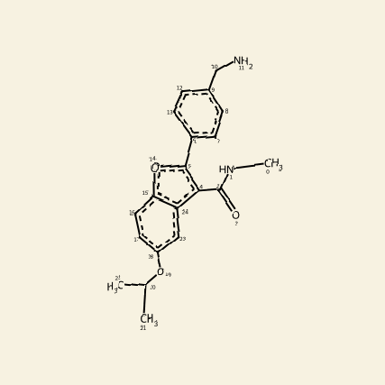 CNC(=O)c1c(-c2ccc(CN)cc2)oc2ccc(OC(C)C)cc12